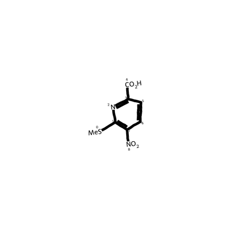 CSc1nc(C(=O)O)ccc1[N+](=O)[O-]